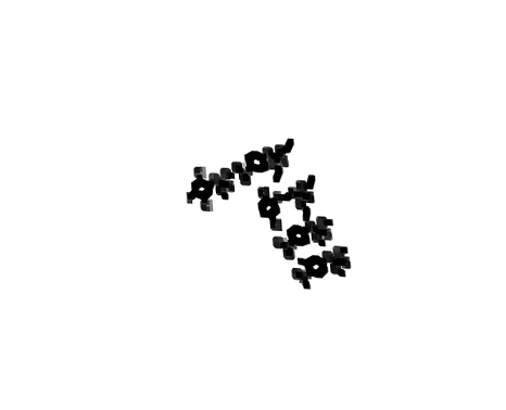 CCOP(=S)(OCC)Oc1ccc([N+](=O)[O-])cc1.CCOP(=S)(OCC)SCSc1cc(Cl)ccc1Cl.COP(=S)(OC)Oc1cc(Cl)c(I)cc1Cl.COP(=S)(OC)Oc1ccc([N+](=O)[O-])cc1.COP(=S)(OC)Oc1ccc([S+](C)[O-])c(C)c1